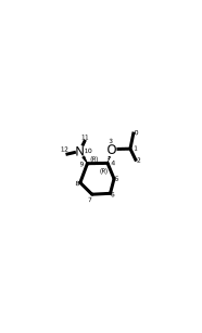 CC(C)O[C@@H]1CCCC[C@H]1N(C)C